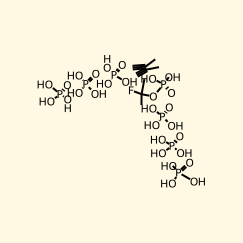 C#CC.C#CC.CC(C)(F)OP(=O)(O)O.O=P(O)(O)O.O=P(O)(O)O.O=P(O)(O)O.O=P(O)(O)O.O=P(O)(O)O.O=P(O)(O)O